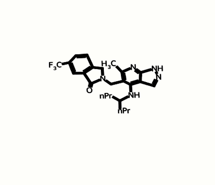 CCCC(CCC)Nc1c(CN2Cc3ccc(C(F)(F)F)cc3C2=O)c(C)nc2[nH]ncc12